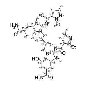 CCn1nc(C)cc1C(=O)/N=c1\n(C)c2cc(C(N)=O)ccc2n1C/C(C)=C(\C)Cn1/c(=N/C(=O)c2cc(C)nn2CC)n(C)c2cc(C(N)=O)cc(O)c21